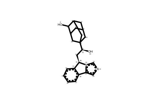 OC1C2CC3CC1CC([C@@H](O)C[C@@H]1c4ccccc4-c4cncn41)(C3)C2